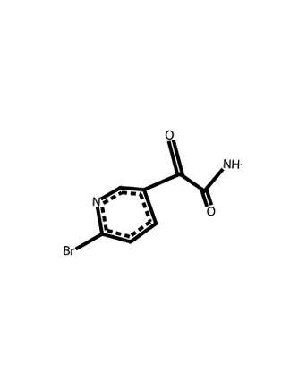 [NH]C(=O)C(=O)c1ccc(Br)nc1